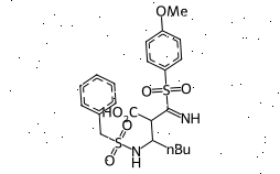 CCCCC(NS(=O)(=O)Cc1ccccc1)C(C(=N)S(=O)(=O)c1ccc(OC)cc1)C(=O)O